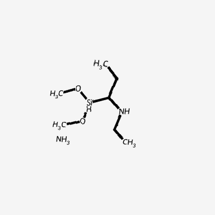 CCNC(CC)[SiH](OC)OC.N